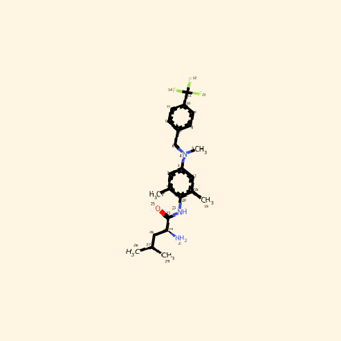 Cc1cc(N(C)Cc2ccc(C(F)(F)F)cc2)cc(C)c1NC(=O)[C@@H](N)CC(C)C